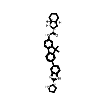 CC1(C)c2cc(NC(=O)[C@@H]3C[C@@H]4CCCC[C@@H]4N3)ccc2-c2ccc(-c3ccc4[nH]c([C@@H]5CCCN5)nc4c3)cc21